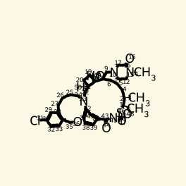 C[C@@H]1[C@@H](C)CCC[C@](O)(CN2CCN(C)C(=O)C2)[C@@H]2CC[C@H]2CN2CCCCc3cc(Cl)ccc3COc3ccc(cc32)C(=O)NS1(=O)=O